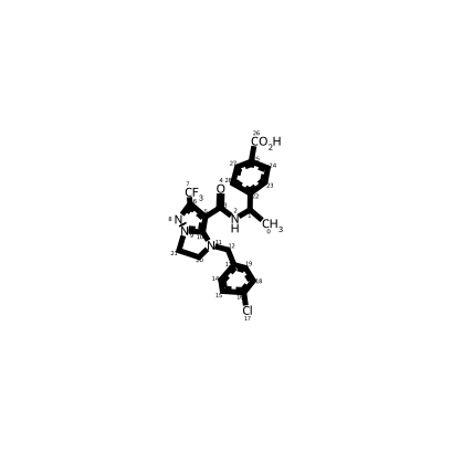 CC(NC(=O)c1c(C(F)(F)F)nn2c1N(Cc1ccc(Cl)cc1)CC2)c1ccc(C(=O)O)cc1